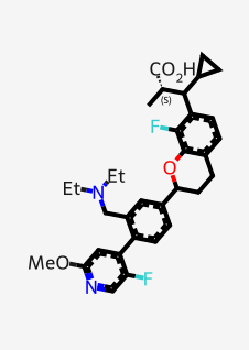 CCN(CC)Cc1cc(C2CCc3ccc(C(C4CC4)[C@H](C)C(=O)O)c(F)c3O2)ccc1-c1cc(OC)ncc1F